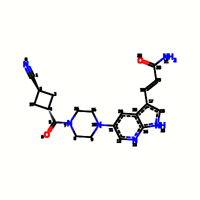 N#C[C@H]1C[C@H](C(=O)N2CCN(c3cnc4[nH]cc(/C=C/C(N)=O)c4c3)CC2)C1